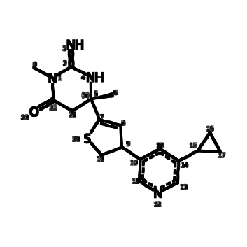 CN1C(=N)N[C@](C)(C2=CC(c3cncc(C4CC4)c3)CS2)CC1=O